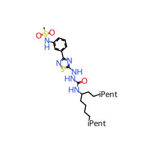 CCCC(C)CCCCC(CCC(C)CCC)NC(=O)NNc1nc(-c2cccc(NS(C)(=O)=O)c2)ns1